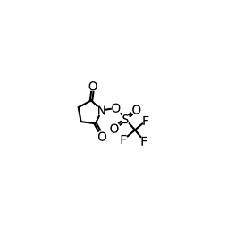 O=C1CCC(=O)N1OS(=O)(=O)C(F)(F)F